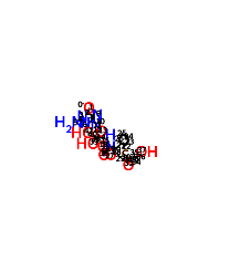 COC1=NC(N)=NC2C1N=CN2[C@@H]1O[C@H](COP(=O)(NCc2ccccc2)OCCSC(=O)C(C)(C)CO)C(O)C1O